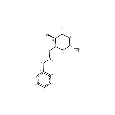 C[C@@H]1C[C@H](O)OC(COCc2ccccc2)[C@H]1C